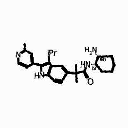 Cc1cc(-c2[nH]c3ccc(C(C)(C)C(=O)N[C@H]4CCCC[C@H]4N)cc3c2C(C)C)ccn1